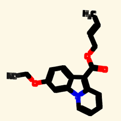 CC=CCOC(=O)c1c2ccc(OCC#N)cc2n2ccccc12